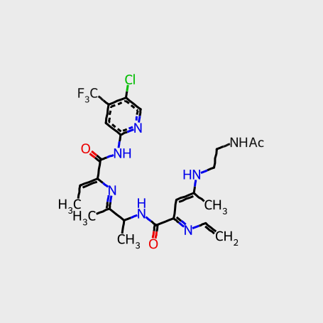 C=C/N=C(\C=C(/C)NCCNC(C)=O)C(=O)NC(C)/C(C)=N/C(=C\C)C(=O)Nc1cc(C(F)(F)F)c(Cl)cn1